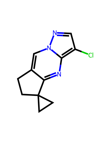 Clc1cnn2cc3c(nc12)C1(CC3)CC1